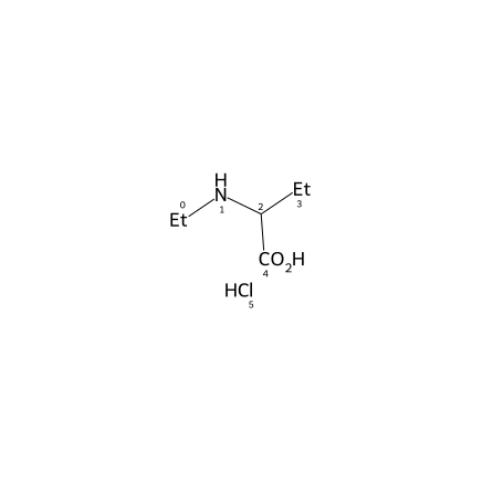 CCNC(CC)C(=O)O.Cl